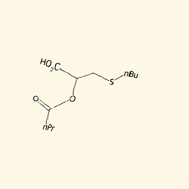 CCCCSCC(OC(=O)CCC)C(=O)O